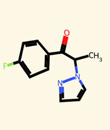 CC(C(=O)c1ccc(F)cc1)n1cccn1